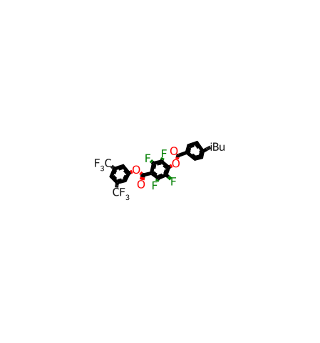 CCC(C)c1ccc(C(=O)Oc2c(F)c(F)c(C(=O)Oc3cc(C(F)(F)F)cc(C(F)(F)F)c3)c(F)c2F)cc1